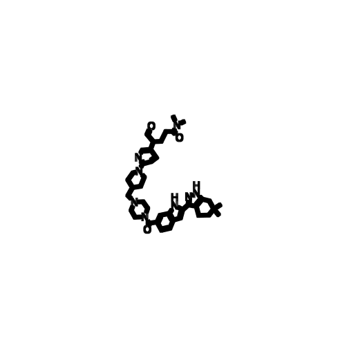 CN(C)C(=O)CCC(C=O)c1ccc(N2CCC(CN3CCN(C(=O)c4ccc5cc(-c6n[nH]c7c6CCC(C)(C)C7)[nH]c5c4)CC3)CC2)nc1